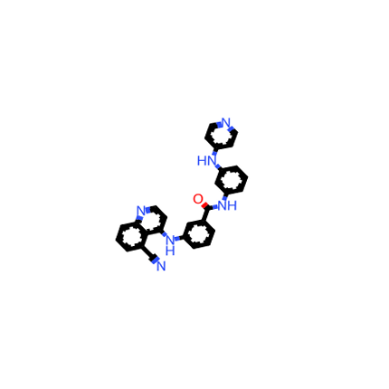 N#Cc1cccc2nccc(Nc3cccc(C(=O)Nc4cccc(Nc5ccncc5)c4)c3)c12